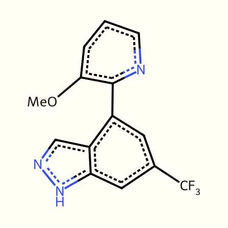 COc1cccnc1-c1cc(C(F)(F)F)cc2[nH]ncc12